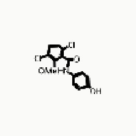 COc1c(Cl)ccc(Cl)c1C(=O)Nc1ccc(O)cc1